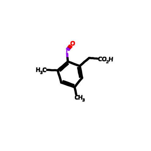 Cc1cc(C)c(I=O)c(CC(=O)O)c1